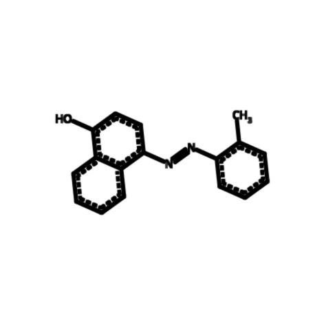 Cc1ccccc1/N=N/c1ccc(O)c2ccccc12